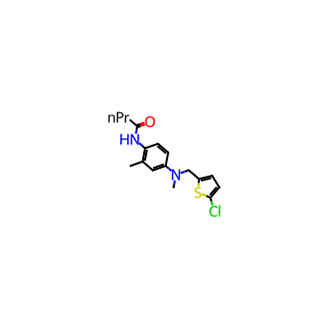 CCCC(=O)Nc1ccc(N(C)Cc2ccc(Cl)s2)cc1C